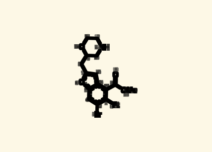 CCc1c(Br)cc2oc(CC3CNCCO3)cc2c1C(=O)OC